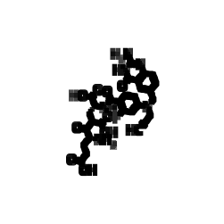 C#CCN(Cc1ccc2nc(N)[nH]c(=O)c2c1)c1ccc(C(=O)N[C@H](CC(C(=O)O)C(=O)[C@H](N)CCC(=O)O)C(=O)O)c(F)c1